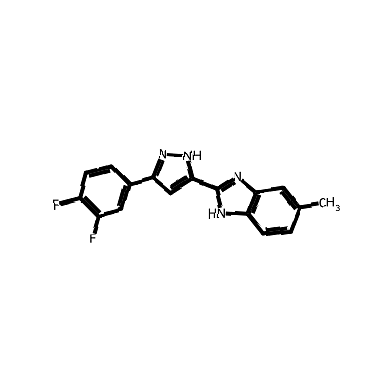 Cc1ccc2[nH]c(-c3cc(-c4ccc(F)c(F)c4)n[nH]3)nc2c1